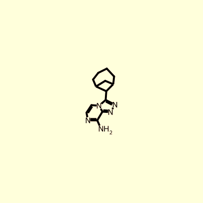 Nc1nccn2c(C3C4CCCCC3C4)nnc12